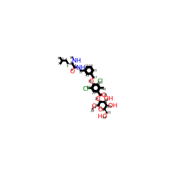 CN[C@@H](CCC(C)C)C(=O)NCc1cccc(COc2c(Cl)cc(C(=O)O[C@H]3[C@@H](OC)O[C@H](CO)[C@@H](O)[C@@H]3O)c(C)c2Cl)c1